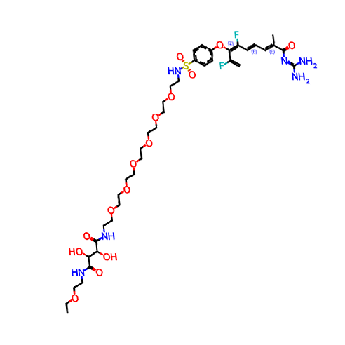 C=C(F)\C(Oc1ccc(S(=O)(=O)NCCOCCOCCOCCOCCOCCOCCNC(=O)C(O)C(O)C(=O)NCCOCC)cc1)=C(F)/C=C/C=C(\C)C(=O)N=C(N)N